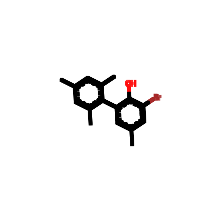 Cc1cc(C)c(-c2cc(C)cc(Br)c2O)c(C)c1